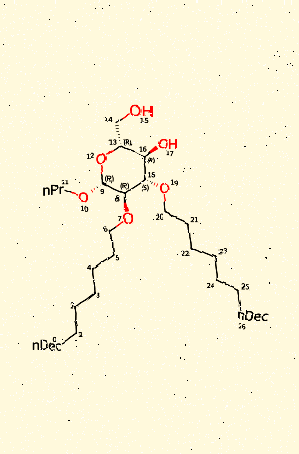 CCCCCCCCCCCCCCCCO[C@H]1[C@H](OCCC)O[C@H](CO)[C@@H](O)[C@@H]1OCCCCCCCCCCCCCCCC